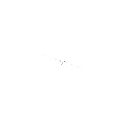 CC#CC#CC#CC#CC#CC#CC#CC(=O)O[C@H](CO)COC(=O)C#CC#CC#CC#CC#CC#CC